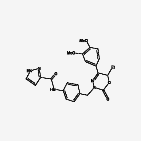 CCC1OC(=O)N(Cc2ccc(NC(=O)c3cc[nH]n3)cc2)N=C1c1ccc(OC)c(OC)c1